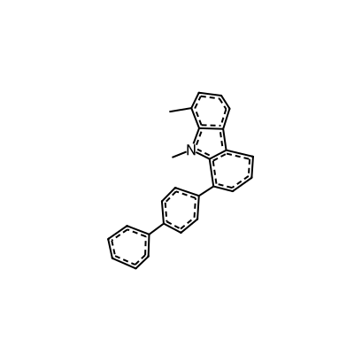 Cc1cccc2c3cccc(-c4ccc(-c5ccccc5)cc4)c3n(C)c12